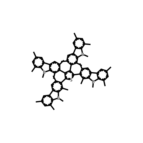 CB1c2c(C)cc(C)cc2-c2cc(C)c(-c3sc(-c4c(C)cc5c(c4C)B(C)c4c(C)cc(C)cc4-5)c(-c4c(C)cc5c(c4C)B(C)c4c(C)cc(C)cc4-5)c3-c3c(C)cc4c(c3C)B(C)c3c(C)cc(C)cc3-4)c(C)c21